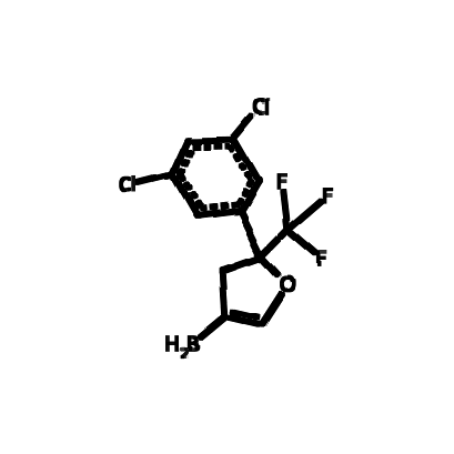 BC1=COC(c2cc(Cl)cc(Cl)c2)(C(F)(F)F)C1